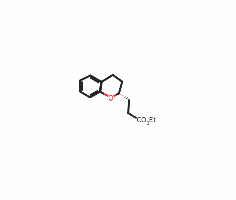 CCOC(=O)CC[C@H]1CCc2ccccc2O1